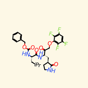 CC(C)C[C@H](NC(=O)OCc1ccccc1)C(=O)N[C@@H](C[C@@H]1CCNC1=O)C(=O)COc1c(F)c(F)cc(F)c1F